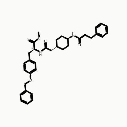 COC(=O)[C@H](Cc1ccc(OCc2ccccc2)cc1)NC(=O)C[C@H]1CC[C@H](NC(=O)CCc2ccccc2)CC1